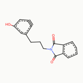 O=C1c2ccccc2C(=O)N1CCCc1c#ccc(O)c1